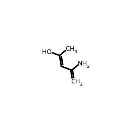 C=C(N)/C=C(\C)O